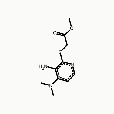 COC(=O)CSc1nccc(N(C)C)c1N